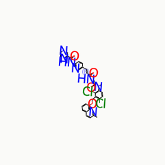 Cc1ccc2cccc(OCc3c(Cl)ccc(N(C)C(=O)CNC(=O)/C=C/c4ccc(NC(=O)c5cnccn5)nc4)c3Cl)c2n1